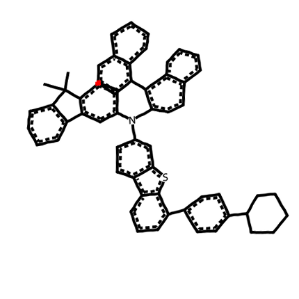 CC1(C)c2ccccc2-c2cc(N(c3ccc4c(c3)sc3c(-c5ccc(C6CCCCC6)cc5)cccc34)c3ccc4ccccc4c3-c3cccc4ccccc34)ccc21